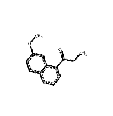 CCC(=O)c1cccc2ccc(OC)cc12